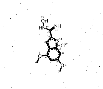 COc1cc(OC)c2cc(C(=N)NO)sc2c1.Cl